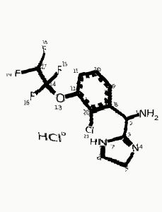 Cl.NC(C1=NCCN1)c1cccc(OC(F)(F)C(F)F)c1Cl